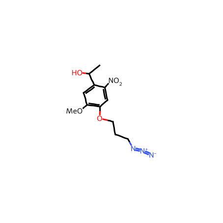 COc1cc(C(C)O)c([N+](=O)[O-])cc1OCCCN=[N+]=[N-]